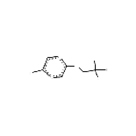 FC(F)(F)COc1cnc(Br)cn1